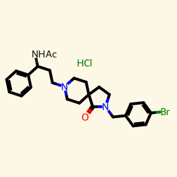 CC(=O)NC(CCN1CCC2(CC1)CCN(Cc1ccc(Br)cc1)C2=O)c1ccccc1.Cl